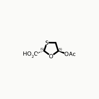 CC(=O)O[C@@H]1CS[C@@H](C(=O)O)O1